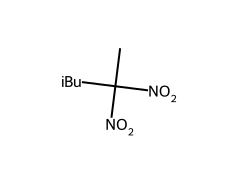 CCC(C)C(C)([N+](=O)[O-])[N+](=O)[O-]